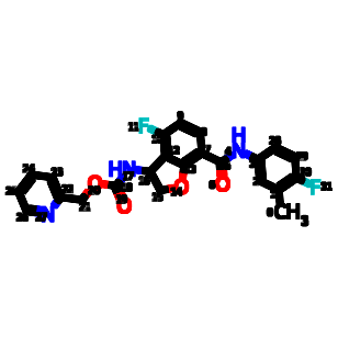 Cc1cc(NC(=O)c2ccc(F)c3c2OCC3NC(=O)OCc2ccccn2)ccc1F